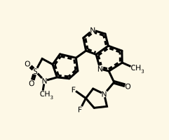 Cc1cc2cncc(-c3ccc4c(c3)CS(=O)(=O)N4C)c2nc1C(=O)N1CCC(F)(F)C1